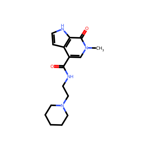 Cn1cc(C(=O)NCCN2CCCCC2)c2cc[nH]c2c1=O